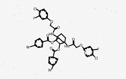 O=C(COc1ccc(Cl)c(F)c1)NC12CCC(NC(=O)COc3ccc(Cl)c(F)c3)(CC1OC(=O)c1ccc(Br)cc1)C(OC(=O)c1ccc(Br)cc1)C2